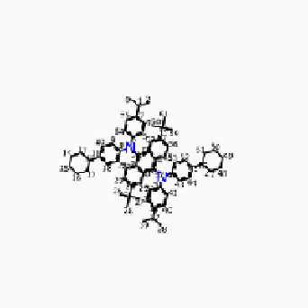 CC(C)c1ccc(N(c2ccc(C3CCCCC3)cc2)c2c3ccc(C(C)(C)C)cc3c(N(c3ccc(C(C)C)cc3)c3ccc(C4CCCCC4)cc3)c3ccc(C(C)(C)C)cc23)cc1